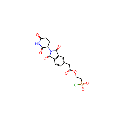 O=C1CCC(N2C(=O)c3ccc(CC(=O)OCCS(=O)(=O)Cl)cc3C2=O)C(=O)N1